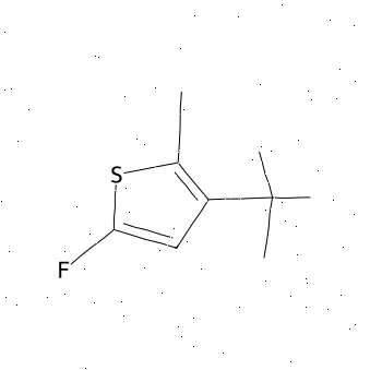 Cc1sc(F)cc1C(C)(C)C